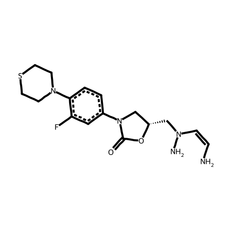 N/C=C\N(N)C[C@H]1CN(c2ccc(N3CCSCC3)c(F)c2)C(=O)O1